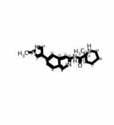 Cn1cc(-c2ccc3cnc(NC(=O)[C@]4(C)CCCCN4)cc3c2)cn1